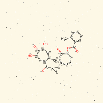 Cc1ccccc1C(=O)Oc1cccc(C2CC2C(=O)c2cc(O)c(=O)c(O)cc2C)cc1=O